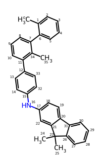 Cc1ccccc1-c1cccc(-c2ccc(Nc3ccc4c(c3)C(C)(C)c3ccccc3-4)cc2)c1C